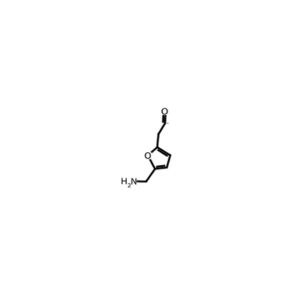 NCc1ccc(C[C]=O)o1